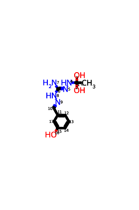 CC(O)(O)NN=C(N)NN=Cc1cccc(O)c1